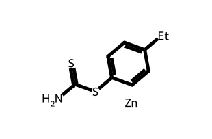 CCc1ccc(SC(N)=S)cc1.[Zn]